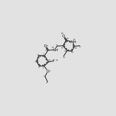 CCOc1cccc(C(=O)NCc2c(C)cc(C)[nH]c2=O)c1F